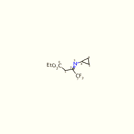 CCOC(=O)C/C(=N/C1CC1)C(F)(F)F